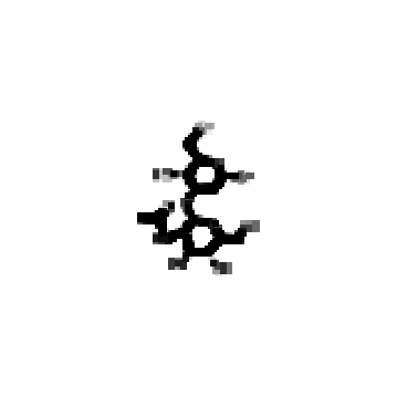 CC(=O)NC1[C@@H](O[C@@H]2C[C@H](O)OC(CO)[C@@H]2O)OC(CO)[C@H](O)[C@@H]1O